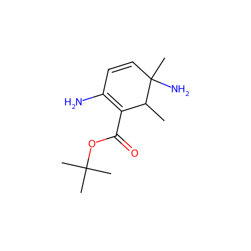 CC1C(C(=O)OC(C)(C)C)=C(N)C=CC1(C)N